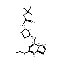 CCCc1cc(N[C@H]2CC[C@H](NC(=O)OC(C)(C)C)C2)n2nccc2n1